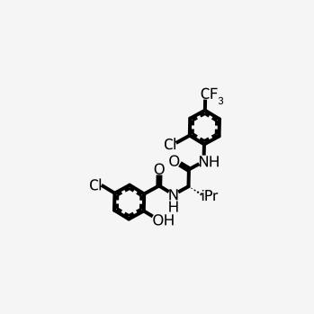 CC(C)[C@H](NC(=O)c1cc(Cl)ccc1O)C(=O)Nc1ccc(C(F)(F)F)cc1Cl